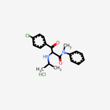 CC(C)NC(C(=O)c1ccc(Cl)cc1)C(=O)N(C)c1ccccc1.Cl